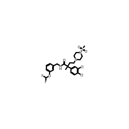 CC(CCN1CCN(S(C)(=O)=O)CC1)(C(=O)NCc1cccc(OC(F)F)c1)c1ccc(Cl)c(Cl)c1